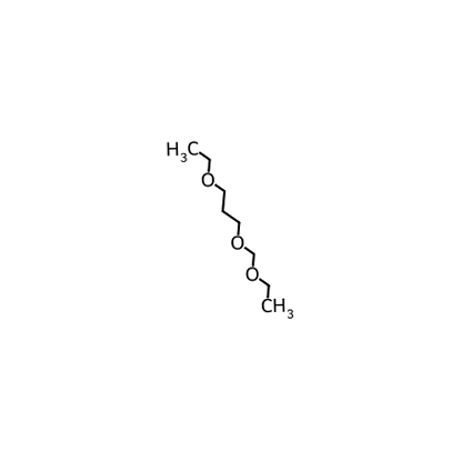 CCOCCCOCOCC